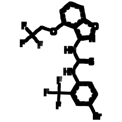 FC(F)(F)COc1cccc2onc(NC(=S)Nc3ccc(Br)cc3C(F)(F)F)c12